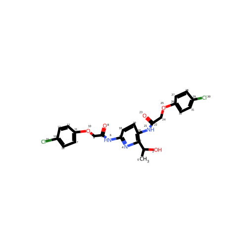 CC(O)c1nc(NC(=O)COc2ccc(Cl)cc2)ccc1NC(=O)COc1ccc(Cl)cc1